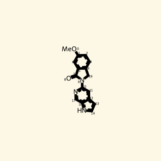 COc1ccc2c(c1)C(=O)N(c1cc3cc[nH]c3cn1)C2